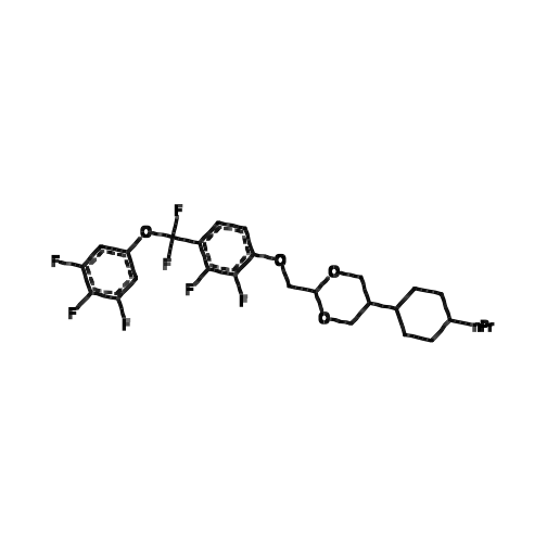 CCCC1CCC(C2COC(COc3ccc(C(F)(F)Oc4cc(F)c(F)c(F)c4)c(F)c3F)OC2)CC1